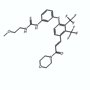 COCCNC(=S)Nc1cccc(Sc2ccc(C=CC(=O)N3CCOCC3)c(C(F)(F)F)c2C(F)(F)F)c1